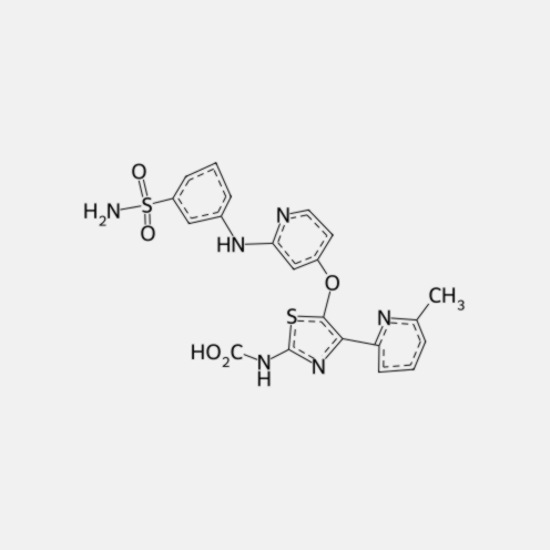 Cc1cccc(-c2nc(NC(=O)O)sc2Oc2ccnc(Nc3cccc(S(N)(=O)=O)c3)c2)n1